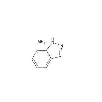 [AlH3].c1ccc2[nH]ncc2c1